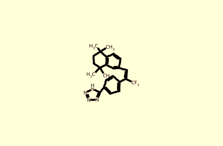 CC1(C)CCC(C)(C)c2cc(C=C(c3ccc(-c4nnn[nH]4)cc3)C(F)(F)F)ccc21